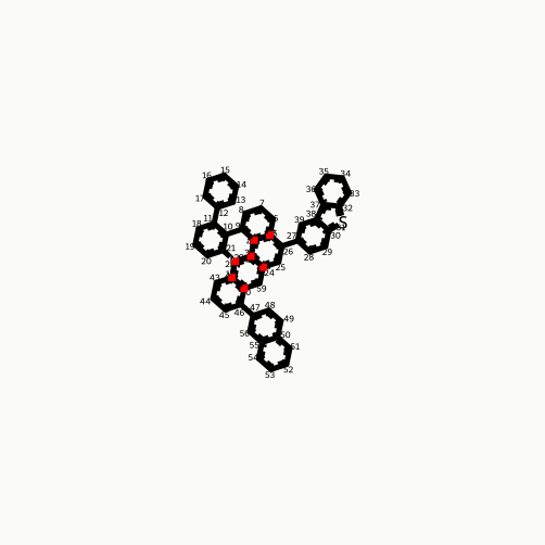 c1ccc(-c2ccccc2-c2c(-c3ccccc3)cccc2N(c2ccc(-c3ccc4sc5ccccc5c4c3)cc2)c2cccc(-c3ccc4ccccc4c3)c2)cc1